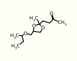 CCC(C)OCC1COC(C)(CCC(C)=O)O1